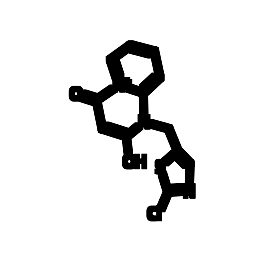 O=c1cc(O)n(Cc2cnc(Cl)s2)c2cccc[n+]12